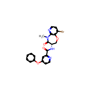 CN1C(=O)[C@@H](NC(=O)c2cc(Oc3ccccc3)ccn2)COc2c(Br)ccnc21